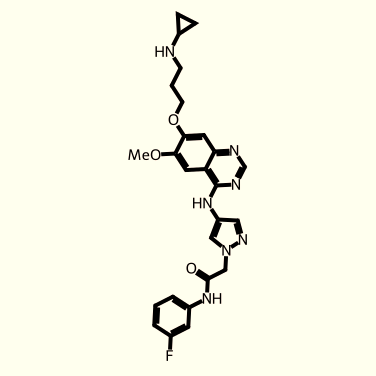 COc1cc2c(Nc3cnn(CC(=O)Nc4cccc(F)c4)c3)ncnc2cc1OCCCNC1CC1